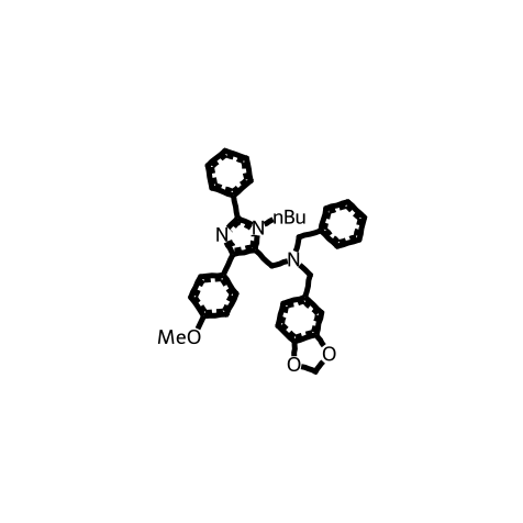 CCCCn1c(-c2ccccc2)nc(-c2ccc(OC)cc2)c1CN(Cc1ccccc1)Cc1ccc2c(c1)OCO2